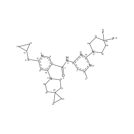 Cc1cc(NC(=O)c2cnc(SC3CC3)cc2N2CCC3(CC2)CC3)nc(N2CCC(F)(F)CC2)n1